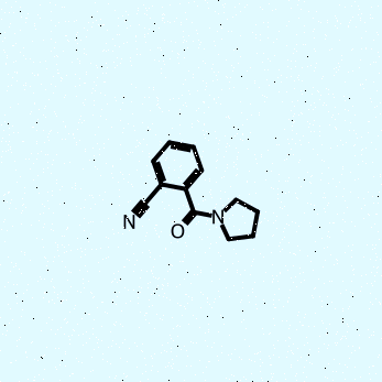 N#Cc1ccccc1C(=O)N1CCCC1